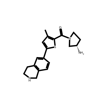 Cc1cc(-c2ccc3c(c2)CCNC3)sc1C(=O)N1CC[C@H](N)C1